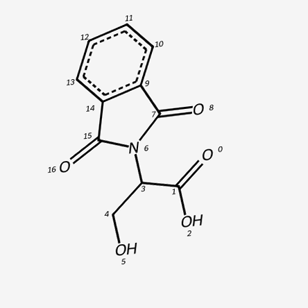 O=C(O)C(CO)N1C(=O)c2ccccc2C1=O